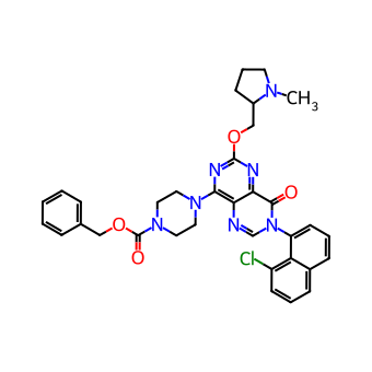 CN1CCCC1COc1nc(N2CCN(C(=O)OCc3ccccc3)CC2)c2ncn(-c3cccc4cccc(Cl)c34)c(=O)c2n1